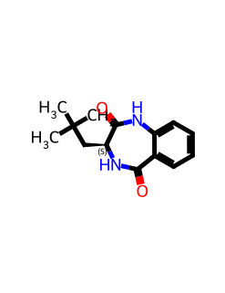 CC(C)(C)C[C@@H]1NC(=O)c2ccccc2NC1=O